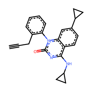 C#CCc1ccccc1-n1c(=O)nc(NC2CC2)c2ccc(C3CC3)cc21